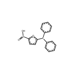 O=S(O)c1ccc(P(c2ccccc2)c2ccccc2)o1